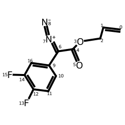 C=CCOC(=O)C(=[N+]=[N-])c1ccc(F)c(F)c1